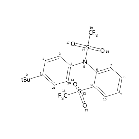 CC(C)(C)c1ccc(N(c2ccccc2S(=O)(=O)C(F)(F)F)S(=O)(=O)C(F)(F)F)cc1